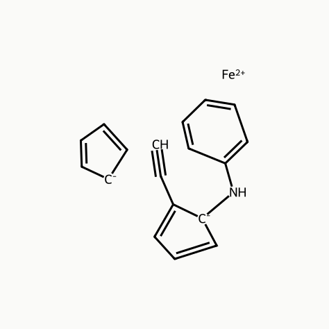 C#Cc1ccc[c-]1Nc1ccccc1.[Fe+2].c1cc[cH-]c1